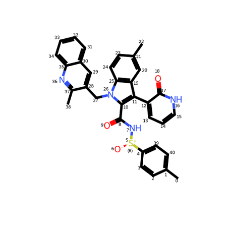 Cc1ccc([S@+]([O-])NC(=O)c2c(-c3ccc[nH]c3=O)c3cc(C)ccc3n2Cc2cc3ccccc3nc2C)cc1